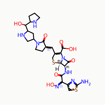 Nc1nc(/C(=N/O)C(=O)N[C@@H]2C(=O)N3C(C(=O)O)=C(/C=C4\CCN(C5CNC(C(O)C6CCCN6)C5)C4=O)CS[C@H]23)cs1